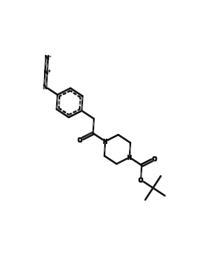 CC(C)(C)OC(=O)N1CCN(C(=O)Cc2ccc(N=[N+]=[N-])cc2)CC1